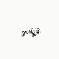 Cc1cccc(Cl)c1NC(=O)c1cnc(Nc2nc(C3CC3)nc(N3CCN(c4cccc(C(F)(F)F)c4)CC3)n2)s1